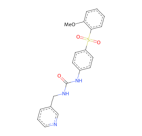 COc1ccccc1S(=O)(=O)c1ccc(NC(=O)NCc2cccnc2)cc1